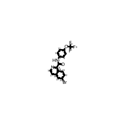 O=C(Nc1ccc(OC(F)(F)F)cc1)c1nccc2cc(Br)ccc12